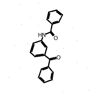 O=C(Nc1cccc(C(=O)c2ccccc2)c1)c1ccccc1